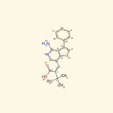 CC(C)(C)C(=Cc1cnc(N)c2c(-c3ccccc3)csc12)C(=O)O